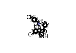 O=C(c1ccnc(Cl)c1)C1N(C/C(F)=C/c2ccc(Cl)cc2)c2ccc(Cl)cc2C12CCNCC2